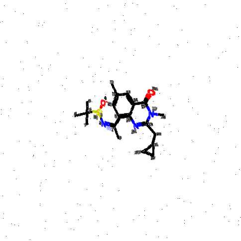 C/C(=N/[S@+]([O-])C(C)(C)C)c1cc(C)cc2c(=O)n(C)c(CC3CC3)nc12